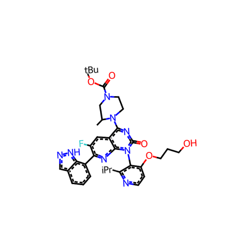 CC(C)c1nccc(OCCCO)c1-n1c(=O)nc(N2CCN(C(=O)OC(C)(C)C)CC2C)c2cc(F)c(-c3cccc4cn[nH]c34)nc21